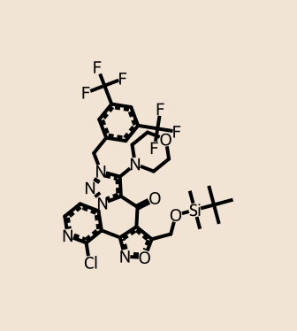 CC(C)(C)[Si](C)(C)OCc1onc(-c2cccnc2Cl)c1C(=O)c1nnn(Cc2cc(C(F)(F)F)cc(C(F)(F)F)c2)c1N1CCOCC1